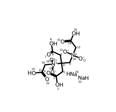 O=C(O)CC(CC(=O)O)(C[N+]([O-])([O-])CC(=O)O)[N+]([O-])([O-])CC(=O)O.[NaH].[NaH]